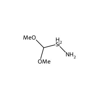 COC(OC)[SiH2]N